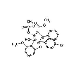 COC(=O)[C@H]1[C@@H](OS(C)(=O)=O)[C@@]2(O)c3c(OC)cncc3O[C@@]2(c2ccc(Br)cc2)[C@@H]1c1ccccc1